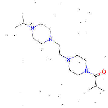 CC(C)C(=O)N1CCN(CCN2CCN(C(C)C)CC2)CC1